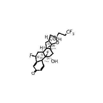 C[C@]12C[C@H](O)[C@@]3(F)[C@@H](C[C@H](F)C4=CC(=O)C=C[C@@]43C)[C@]1(C)C[C@H]1CN(CCC(F)(F)F)O[C@]12C(=O)O